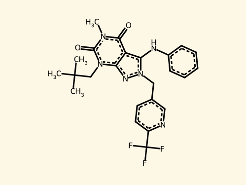 Cn1c(=O)c2c(Nc3ccccc3)n(Cc3ccc(C(F)(F)F)nc3)nc2n(CC(C)(C)C)c1=O